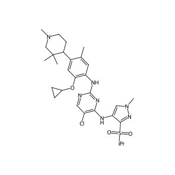 Cc1cc(Nc2ncc(Cl)c(Nc3cn(C)nc3S(=O)(=O)C(C)C)n2)c(OC2CC2)cc1C1CCN(C)CC1(C)C